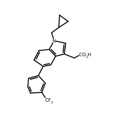 O=C(O)Cc1cn(CC2CC2)c2ccc(-c3cccc(C(F)(F)F)c3)cc12